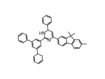 Cc1ccc2c(c1)C(C)(C)c1cc(C3=CC(c4ccccc4)NC(c4cc(-c5ccccc5)cc(C5C=CC=CC5)c4)=N3)ccc1-2